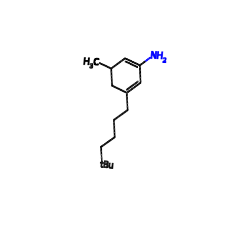 CC1C=C(N)C=C(CCCCC(C)(C)C)C1